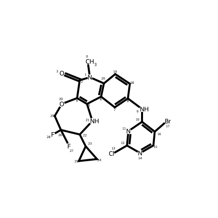 Cn1c(=O)c2c(c3cc(Nc4nc(Cl)ncc4Br)ccc31)NC(C1CC1)C(F)(F)CO2